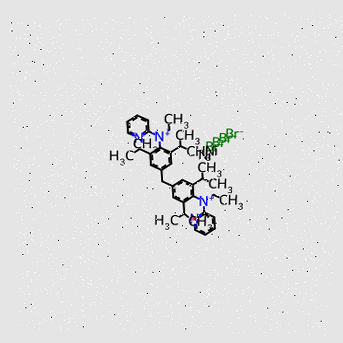 CC=[N+](c1ccccn1)c1c(C(C)C)cc(Cc2cc(C(C)C)c([N+](=CC)c3ccccn3)c(C(C)C)c2)cc1C(C)C.[Br-].[Br-].[Br-].[Br-].[Ni].[Ni]